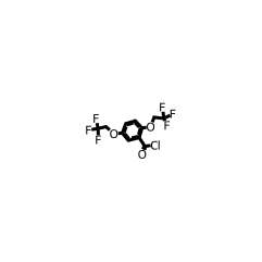 O=C(Cl)c1cc(OCC(F)(F)F)ccc1OCC(F)(F)F